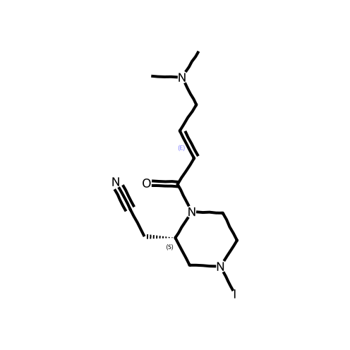 CN(C)C/C=C/C(=O)N1CCN(I)C[C@@H]1CC#N